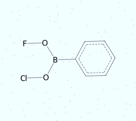 FOB(OCl)c1ccccc1